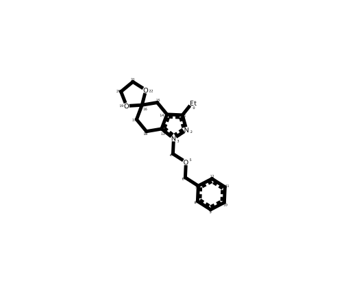 CCc1nn(COCc2ccccc2)c2c1CC1(CC2)OCCO1